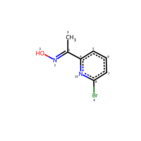 CC(=NO)c1cccc(Br)n1